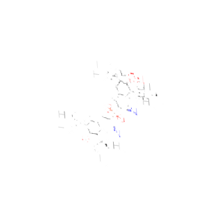 CC(C)c1cc(/C=C(\C#N)S(=O)(=O)/C(C#N)=C/c2cc(C(C)(C)C)c(O)c(C(C)(C)C)c2)cc(C(C)C)c1O